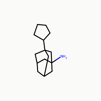 NC12CC3CC(C1)CC(C1CCCC1)(C3)C2